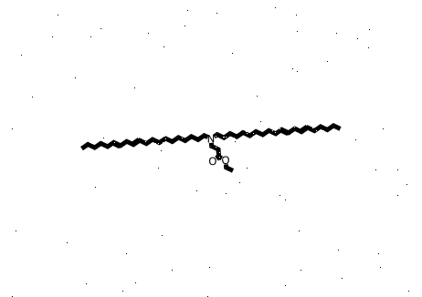 CCCCCC=CCC=CCCCCCCCCCCN(CCCCCCCCCCC=CCC=CCCCCC)CCC(=O)OCC